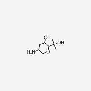 CC(C)(O)C1OCC(N)CC1O